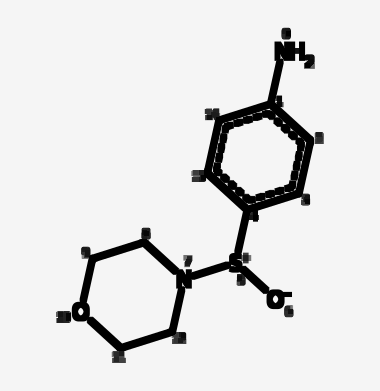 Nc1ccc([S+]([O-])N2CCOCC2)cc1